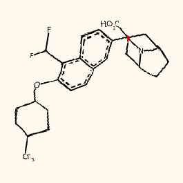 O=C(O)C1CC2CCC(C1)N2Cc1ccc2c(C(F)F)c(OC3CCC(C(F)(F)F)CC3)ccc2c1